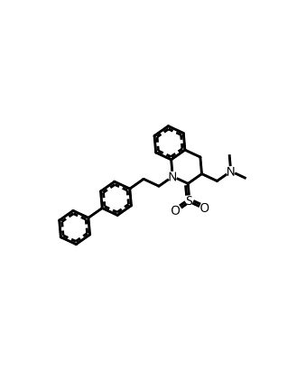 CN(C)CC1Cc2ccccc2N(CCc2ccc(-c3ccccc3)cc2)C1=S(=O)=O